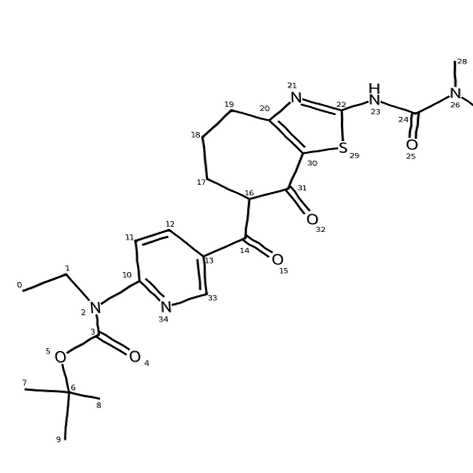 CCN(C(=O)OC(C)(C)C)c1ccc(C(=O)C2CCCc3nc(NC(=O)N(C)C)sc3C2=O)cn1